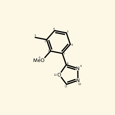 COc1c(C)cccc1-c1nnco1